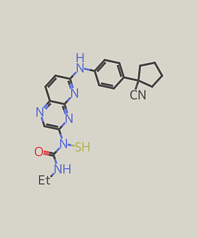 CCNC(=O)N(S)c1cnc2ccc(Nc3ccc(C4(C#N)CCCC4)cc3)nc2n1